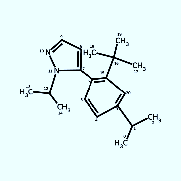 CC(C)c1ccc(-c2ccnn2C(C)C)c(C(C)(C)C)c1